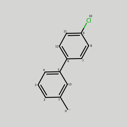 [CH2]c1cccc(-c2ccc(Cl)cc2)c1